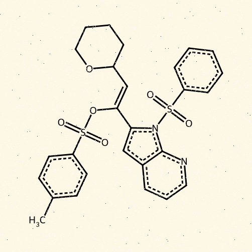 Cc1ccc(S(=O)(=O)OC(=CC2CCCCO2)c2cc3cccnc3n2S(=O)(=O)c2ccccc2)cc1